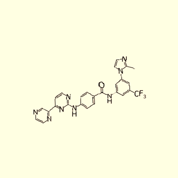 Cc1nccn1-c1cc(NC(=O)c2ccc(Nc3nccc(-c4cnccn4)n3)cc2)cc(C(F)(F)F)c1